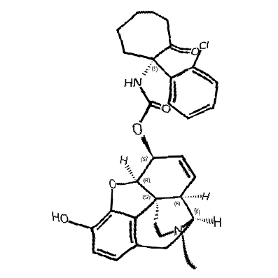 CN1CC[C@]23c4c5ccc(O)c4O[C@H]2[C@@H](OC(=O)N[C@]2(c4ccccc4Cl)CCCCC2=O)C=C[C@H]3[C@H]1C5